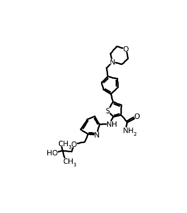 CC(C)(O)COCc1cccc(Nc2sc(-c3ccc(CN4CCOCC4)cc3)cc2C(N)=O)n1